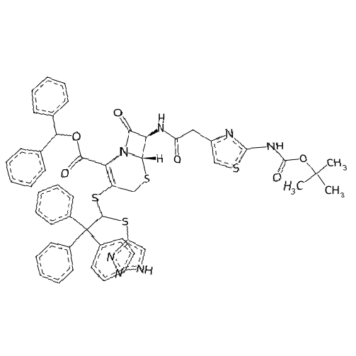 CC(C)(C)OC(=O)Nc1nc(CC(=O)N[C@@H]2C(=O)N3C(C(=O)OC(c4ccccc4)c4ccccc4)=C(SC(Sc4c[nH]nn4)C(c4ccccc4)(c4ccccc4)c4ccccc4)CS[C@@H]23)cs1